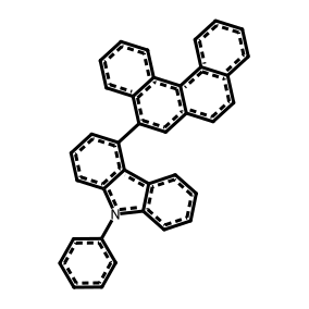 c1ccc(-n2c3ccccc3c3c(-c4cc5ccc6ccccc6c5c5ccccc45)cccc32)cc1